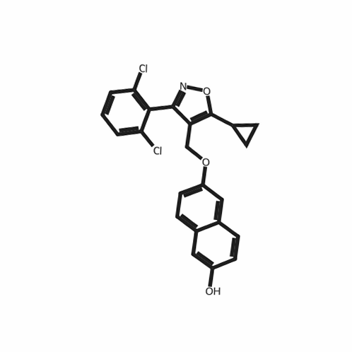 Oc1ccc2cc(OCc3c(-c4c(Cl)cccc4Cl)noc3C3CC3)ccc2c1